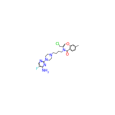 Cc1ccc2c(c1)OC=C(CCl)N(CCCCN1CCN(c3ncc(F)c(N)n3)CC1)C2=O